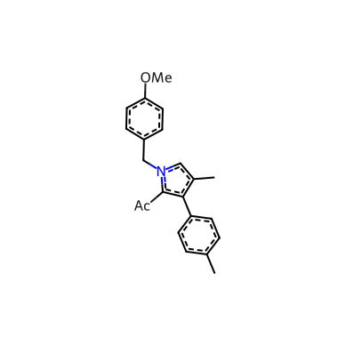 [CH2]C(=O)c1c(-c2ccc(C)cc2)c(C)cn1Cc1ccc(OC)cc1